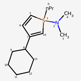 CCCS1(N(C)C)C=CC(C2CCCCC2)=C1